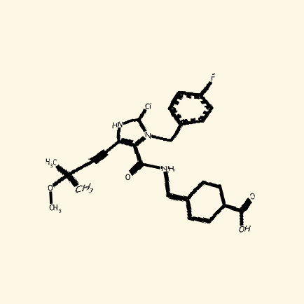 COC(C)(C)C#CC1=C(C(=O)NCC2CCC(C(=O)O)CC2)N(Cc2ccc(F)cc2)C(Cl)N1